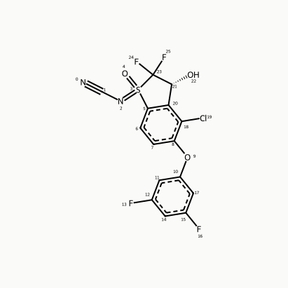 N#CN=S1(=O)c2ccc(Oc3cc(F)cc(F)c3)c(Cl)c2[C@@H](O)C1(F)F